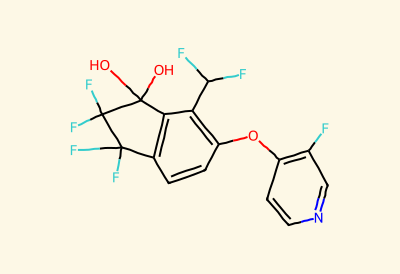 OC1(O)c2c(ccc(Oc3ccncc3F)c2C(F)F)C(F)(F)C1(F)F